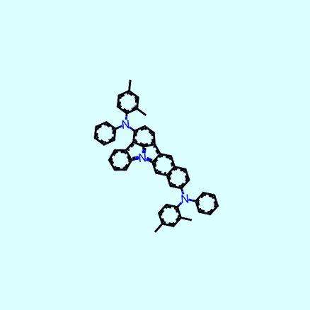 Cc1ccc(N(c2ccccc2)c2ccc3cc4c5ccc(N(c6ccccc6)c6ccc(C)cc6C)c6c7ccccc7n(c4cc3c2)c56)c(C)c1